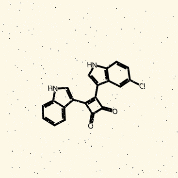 O=c1c(-c2c[nH]c3ccccc23)c(-c2c[nH]c3ccc(Cl)cc23)c1=O